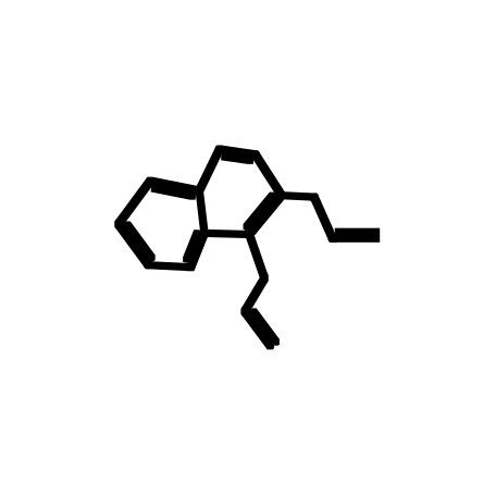 C=CCc1ccc2ccccc2c1CC=C